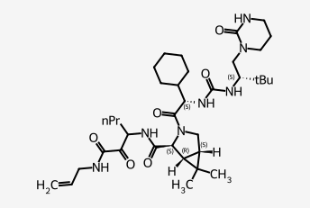 C=CCNC(=O)C(=O)C(CCC)NC(=O)[C@@H]1[C@@H]2[C@H](CN1C(=O)[C@@H](NC(=O)N[C@H](CN1CCCNC1=O)C(C)(C)C)C1CCCCC1)C2(C)C